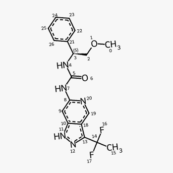 COC[C@@H](NC(=O)Nc1cc2[nH]nc(C(C)(F)F)c2cn1)c1ccccc1